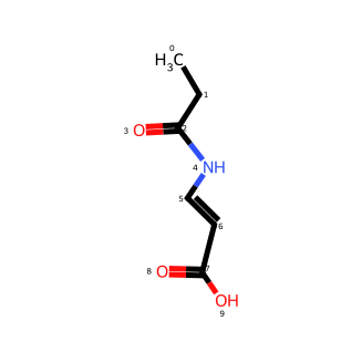 CCC(=O)NC=CC(=O)O